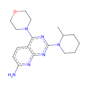 CC1CCCCN1c1nc(N2CCOCC2)c2ccc(N)nc2n1